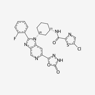 O=C(N[C@H]1CCC[C@@H](n2c(-c3ccccc3F)nc3cnc(-c4n[nH]c(=O)o4)cc32)C1)c1ncc(Cl)s1